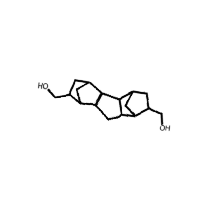 OCC1CC2CC1C1CC3C4CC(CC4CO)C3C21